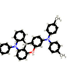 Cc1ccc(N(c2ccc(C)cc2)c2ccc3c(c2)Oc2cccc4c2B3c2ccccc2N4c2ccccc2)cc1